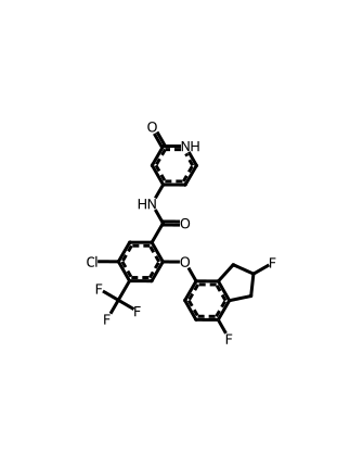 O=C(Nc1cc[nH]c(=O)c1)c1cc(Cl)c(C(F)(F)F)cc1Oc1ccc(F)c2c1CC(F)C2